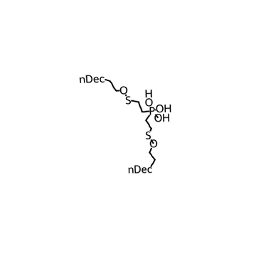 CCCCCCCCCCCCOSCCP(O)(O)(O)CCSOCCCCCCCCCCCC